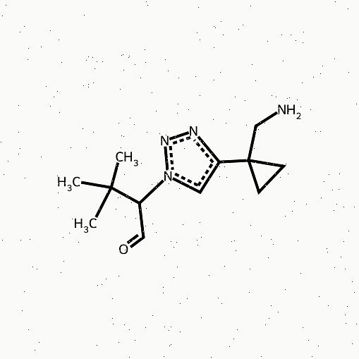 CC(C)(C)C(C=O)n1cc(C2(CN)CC2)nn1